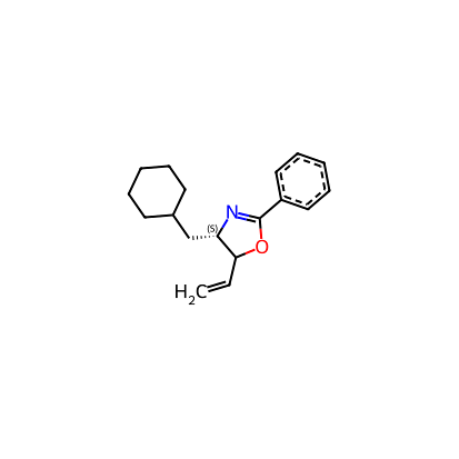 C=CC1OC(c2ccccc2)=N[C@H]1CC1CCCCC1